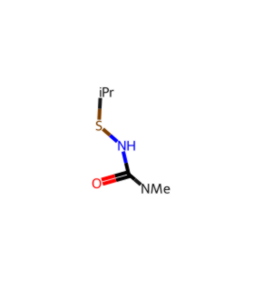 CNC(=O)NSC(C)C